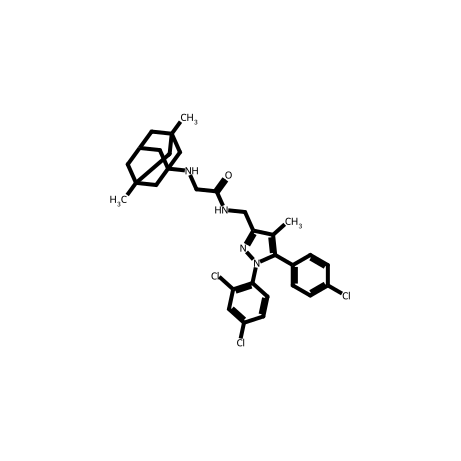 Cc1c(CNC(=O)CNC23CC4CC(C)(CC(C)(C4)C2)C3)nn(-c2ccc(Cl)cc2Cl)c1-c1ccc(Cl)cc1